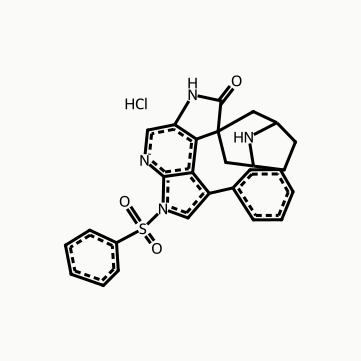 Cl.O=C1Nc2cnc3c(c(-c4ccccc4)cn3S(=O)(=O)c3ccccc3)c2C12CC1CCC(C2)N1